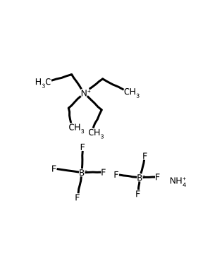 CC[N+](CC)(CC)CC.F[B-](F)(F)F.F[B-](F)(F)F.[NH4+]